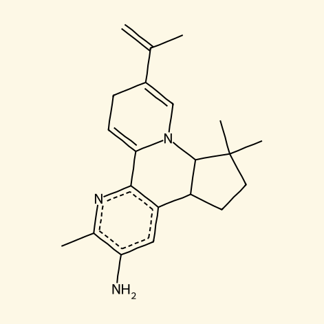 C=C(C)C1=CN2C(=CC1)c1nc(C)c(N)cc1C1CCC(C)(C)C12